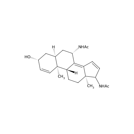 CC(=O)NC1C=CC2=C3[C@@H](NC(C)=O)C[C@@H]4C[C@@H](O)C=C[C@]4(C)[C@H]3CC[C@@]21C